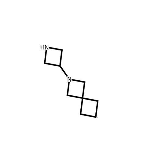 [CH]1CC2(C1)CN(C1CNC1)C2